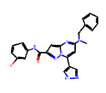 CN(Cc1ccccc1)c1cc(-c2cn[nH]c2)n2nc(C(=O)Nc3cccc(O)c3)cc2n1